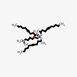 CCCCCC#CCCC(C)O[Si](CCCCCCN(C)C)(OC(C)CCC#CCCCCC)OC(C)CCC#CCCCCC